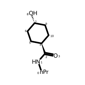 CCCNC(=O)[C@H]1CC[C@H](O)CC1